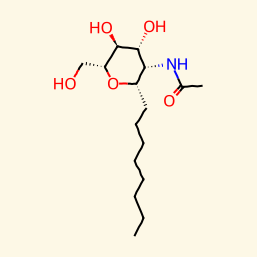 CCCCCCCC[C@@H]1O[C@H](CO)[C@@H](O)[C@H](O)[C@@H]1NC(C)=O